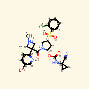 CN1CC(C(=O)N2C[C@H](S(=O)(=O)c3ccccc3Cl)C[C@@H]2OC(=O)NC2(C#N)CC2)(c2ncc(Br)cc2F)C1